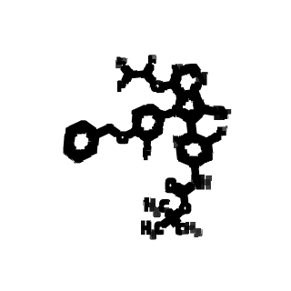 CC(C)(C)OC(=O)Nc1cnc(-c2c(Br)c3ncnc(OC(F)C(F)F)c3n2-c2ccc(OCc3ccccc3)c(F)c2)c(F)c1